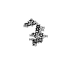 CC(=O)OC1C(C)OC(Oc2cc3cc4c(c(O)c3c(O)c2C)C(=O)[C@@H](OC2CC(OC3CC(OC5CC(C)(O)C(OC(C)=O)C(C)O5)C(O)C(C)O3)C(O)C(C)O2)[C@H]([C@H](C=O)C(=O)[C@@H](O)[C@@H](C)O)C4)CC1OC1CC(O)C(C=O)C(C)O1